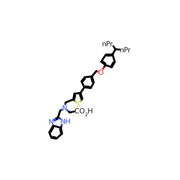 CCCC(CCC)c1ccc(OCc2ccc(-c3csc(CN(CC(=O)O)Cc4nc5ccccc5[nH]4)c3)cc2)cc1